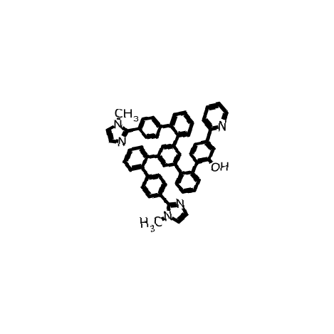 Cn1ccnc1-c1ccc(-c2ccccc2-c2cc(-c3ccccc3-c3ccc(-c4nccn4C)cc3)cc(-c3ccccc3-c3ccc(-c4ccccn4)cc3O)c2)cc1